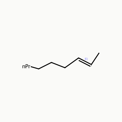 [CH2]CCCCC/C=[C]/C